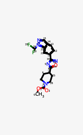 COC(=O)N1CCC(c2nc(-c3ccc4cnn(C(F)F)c4c3)no2)CC1